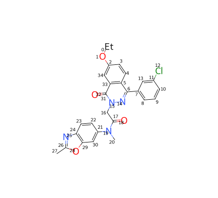 CCOc1ccc2c(-c3cccc(Cl)c3)nn(CC(=O)N(C)c3ccc4nc(C)oc4c3)c(=O)c2c1